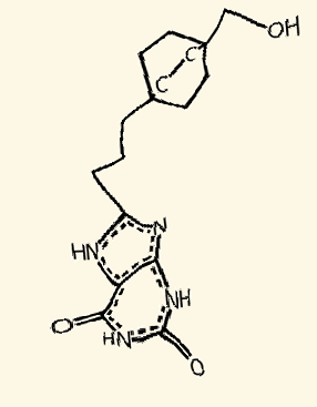 O=c1[nH]c(=O)c2[nH]c(CCCC34CCC(CO)(CC3)CC4)nc2[nH]1